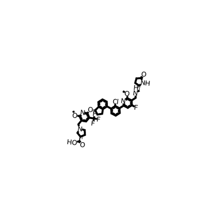 COc1nc(O[C@H]2CCc3c(-c4cccc(-c5cc(F)c(CNC[C@@H]6CCC(=O)N6)c(OC)n5)c4Cl)cccc32)c(C(F)(F)F)cc1CN1CC[C@@H](C(=O)O)C1